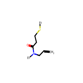 C=CCN(CC)C(=O)CCSCC